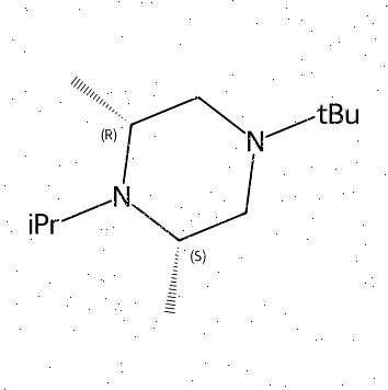 CC(C)N1[C@H](C)CN(C(C)(C)C)C[C@@H]1C